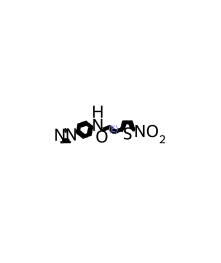 O=C(/C=C/c1ccc([N+](=O)[O-])s1)Nc1ccc(-n2ccnc2)cc1